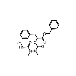 CC(C)NC(=O)N(C)N(C)C(=O)OC(Cc1ccccc1)C(=O)OCc1ccccc1